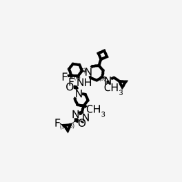 CN(CC1CC1)[C@@H]1CCN([C@H]2CCCC(F)(F)[C@@H]2NC(=O)N2CCC(C)(c3noc([C@@H]4C[C@@H]4F)n3)CC2)CC(C2CCC2)C1